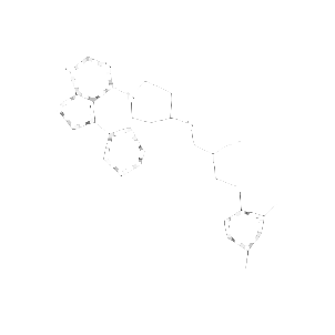 OC(CNC1CCN(c2ncnc3scc(-c4ccccc4)c23)CC1)COc1ccc(F)cc1F